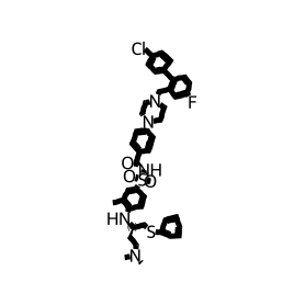 Cc1cc(S(=O)(=O)NC(=O)c2ccc(N3CCN(Cc4cc(F)ccc4-c4ccc(Cl)cc4)CC3)cc2)ccc1N[C@H](CCN(C)C)CSc1ccccc1